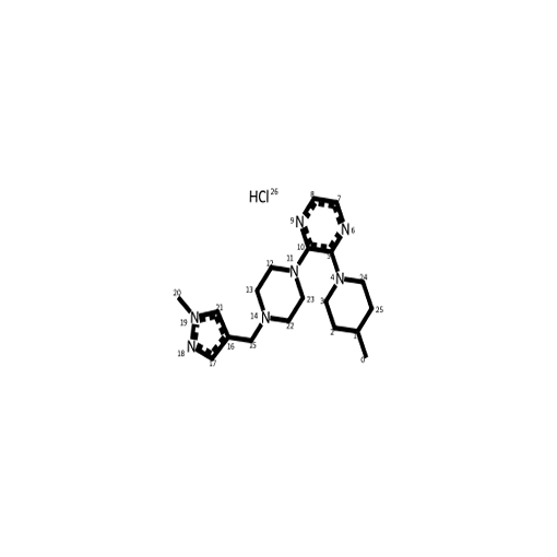 CC1CCN(c2nccnc2N2CCN(Cc3cnn(C)c3)CC2)CC1.Cl